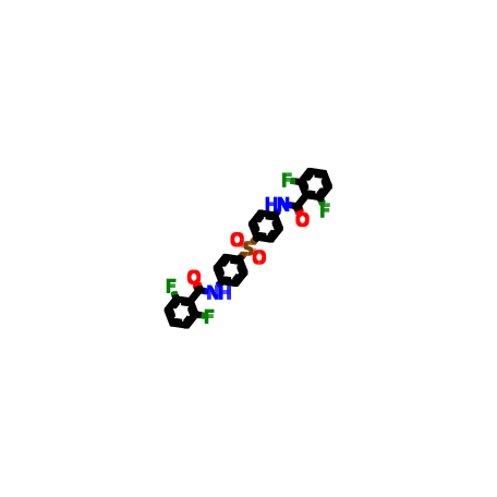 O=C(Nc1ccc(S(=O)(=O)c2ccc(NC(=O)c3c(F)cccc3F)cc2)cc1)c1c(F)cccc1F